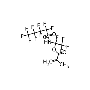 C=C(C)C(=O)OC(F)(NS(=O)(=O)C(F)(F)C(F)(F)C(F)(F)C(F)(F)F)C(F)(F)F